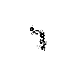 Cc1cc(Cc2nccn3c(-c4cn(C)nc4C(F)(F)F)cnc23)ccc1C(=O)N1CCN(C(=O)[C@H]2CC[C@H](C)C2)CC1